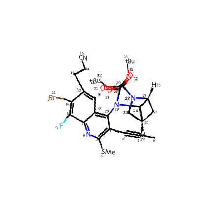 CC#Cc1c(SC)nc2c(F)c(Br)c(CCC#N)cc2c1N(C(=O)OC(C)(C)C)C1[C@@H]2C[C@H]1N(C(=O)OC(C)(C)C)C2